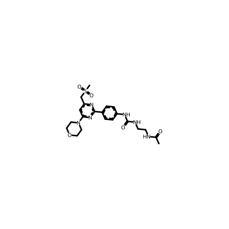 CC(=O)NCCNC(=O)Nc1ccc(-c2nc(CS(C)(=O)=O)cc(N3CCOCC3)n2)cc1